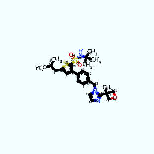 CC(C)Cc1cc(-c2ccc(Cn3ccnc3C3(C)COC3)cc2)c(S(=O)(=O)NC(C)(C)C)s1